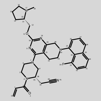 C=CC(=O)N1CCN(c2nc(OC[C@@H]3CCCN3C)nc3c2CCN(c2cccc4cccc(F)c24)C3)C[C@@H]1CC#N